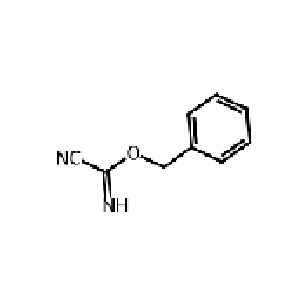 N#CC(=N)OCc1ccccc1